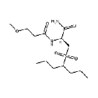 CCCC(CCC)S(=O)(=O)C[C@@H](NC(=O)CCOC)C(N)=O